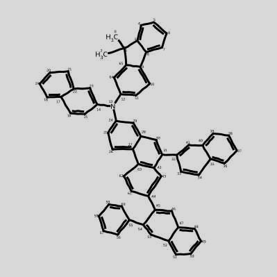 CC1(C)c2ccccc2-c2ccc(N(c3ccc4ccccc4c3)c3ccc4c(c3)cc(-c3ccc5ccccc5c3)c3cc(-c5cc6ccccc6cc5-c5ccccc5)ccc34)cc21